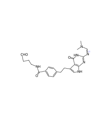 CN(C)/C=N\c1nc2[nH]cc(CCc3ccc(C(=O)NCCCC=O)cc3)c2c(=O)[nH]1